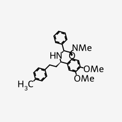 CNC(=O)[C@@H](N[C@H](CCc1ccc(C)cc1)c1ccc(OC)c(OC)c1)c1ccccc1